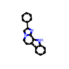 c1ccc(-c2cn3ccc4c5ccccc5[nH]c4c3n2)cc1